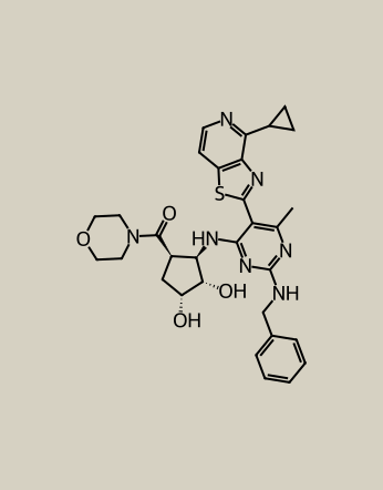 Cc1nc(NCc2ccccc2)nc(N[C@H]2[C@H](O)[C@H](O)C[C@H]2C(=O)N2CCOCC2)c1-c1nc2c(C3CC3)nccc2s1